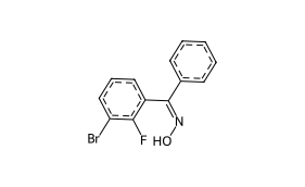 ON=C(c1ccccc1)c1cccc(Br)c1F